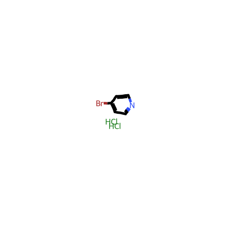 Brc1ccncc1.Cl.Cl